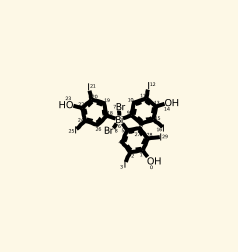 Oc1c(I)c[c]([Bi]([Br])([Br])([c]2cc(I)c(O)c(I)c2)[c]2cc(I)c(O)c(I)c2)cc1I